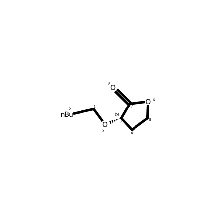 CCCCCO[C@H]1CCOC1=O